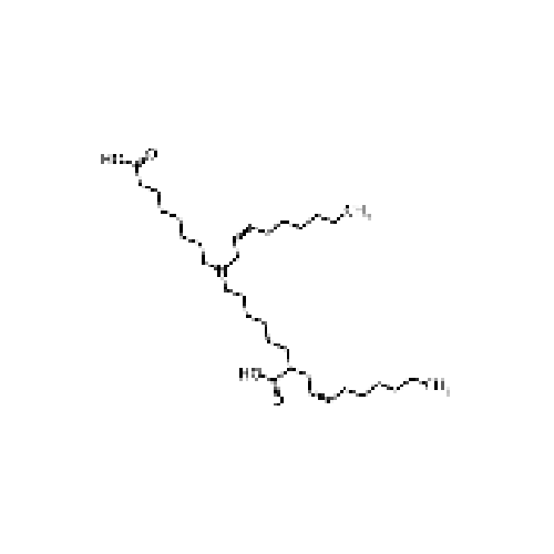 CCCCCC/C=C\CC(CCCCCCN(C/C=C\CCCCCC)CCCCCCCC(=O)O)C(=O)O